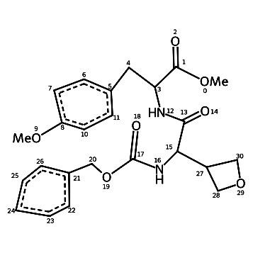 COC(=O)C(Cc1ccc(OC)cc1)NC(=O)C(NC(=O)OCc1ccccc1)C1COC1